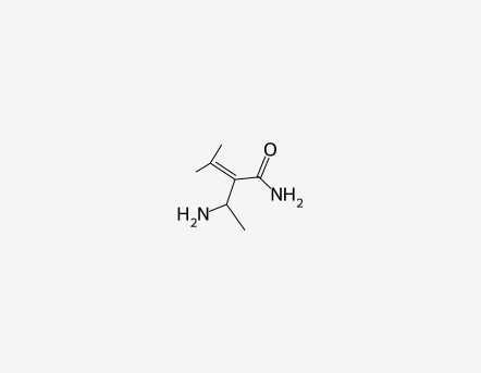 CC(C)=C(C(N)=O)C(C)N